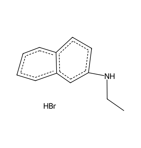 Br.CCNc1ccc2ccccc2c1